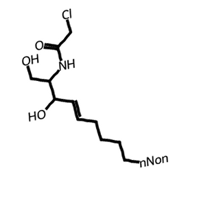 CCCCCCCCCCCCCC=CC(O)C(CO)NC(=O)CCl